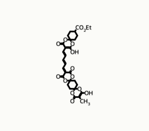 CCOC(=O)C1CCC2(CC1)OC(=O)C(/C=C/C=C/C=C1C(=O)OC3(CCC4(CC3)OC(=O)C(C)=C(O)O4)OC1=O)=C(O)O2